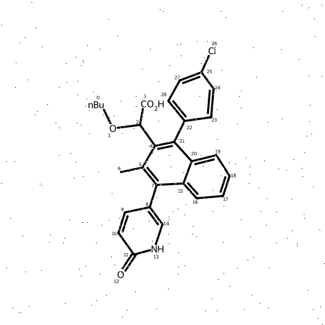 CCCCOC(C(=O)O)c1c(C)c(-c2ccc(=O)[nH]c2)c2ccccc2c1-c1ccc(Cl)cc1